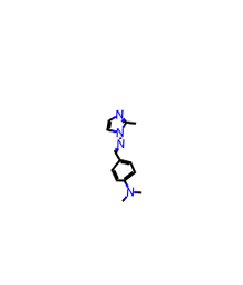 Cc1nccn1N=Cc1ccc(N(C)C)cc1